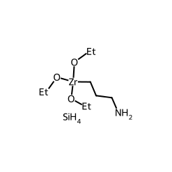 CC[O][Zr]([CH2]CCN)([O]CC)[O]CC.[SiH4]